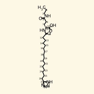 CCCNC(=O)CC[C@H](NC(=O)CCCCCCCCCCCCCCCc1nnn[nH]1)C(=O)O